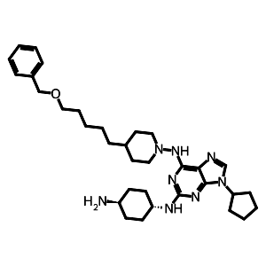 N[C@H]1CC[C@H](Nc2nc(NN3CCC(CCCCCOCc4ccccc4)CC3)c3ncn(C4CCCC4)c3n2)CC1